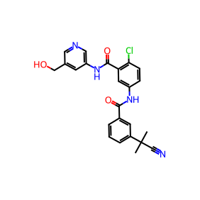 CC(C)(C#N)c1cccc(C(=O)Nc2ccc(Cl)c(C(=O)Nc3cncc(CO)c3)c2)c1